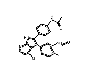 CC(=O)Nc1ccc(-c2[nH]c3nccc(Cl)c3c2-c2ccc(C)c(NC=O)c2)cc1